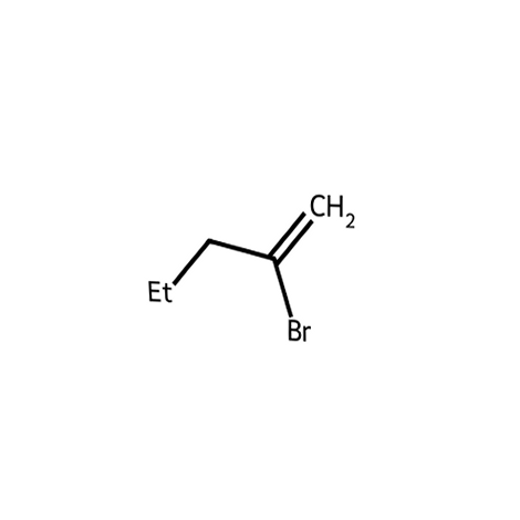 [CH2]CCC(=C)Br